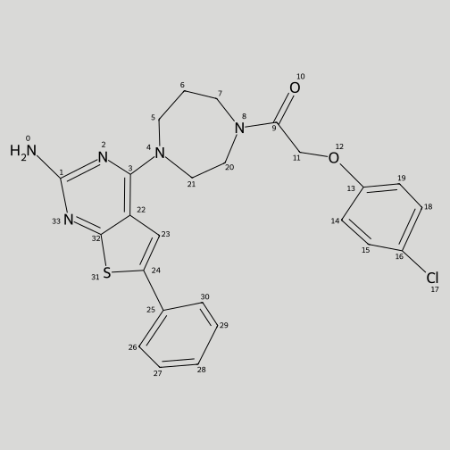 Nc1nc(N2CCCN(C(=O)COc3ccc(Cl)cc3)CC2)c2cc(-c3ccccc3)sc2n1